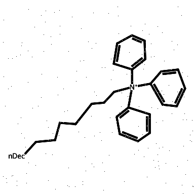 CCCCCCCCCCCCCCCCC[N+](c1ccccc1)(c1ccccc1)c1ccccc1